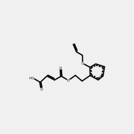 C=CCOc1ccccc1CCOC(=O)C=CC(=O)O